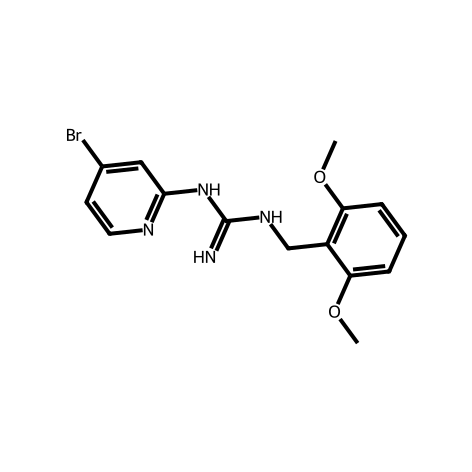 COc1cccc(OC)c1CNC(=N)Nc1cc(Br)ccn1